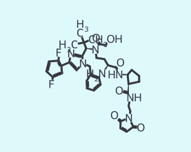 CC(C)(C)[C@H](c1nc(-c2cc(F)ccc2F)cn1Cc1ccccc1)N(CC[C@H](N)C(=O)N[C@H]1CCC[C@H]1C(=O)NCCN1C(=O)C=CC1=O)C(=O)CO